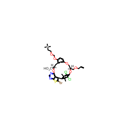 C=CCOC[C@@H]1COc2ccc(OCOCC[Si](C)(C)C)c(c2)C[C@H](C(=O)O)Oc2ncnc3sc(Br)c(c23)-c2c(C)c(Cl)c(c(Cl)c2C)O1